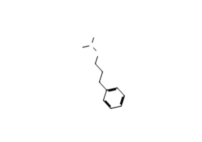 CCN(CC)OCCCc1ccccc1